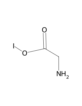 NCC(=O)OI